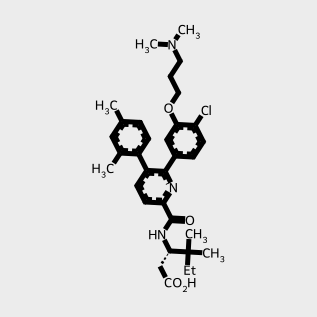 CCC(C)(C)[C@H](CC(=O)O)NC(=O)c1ccc(-c2ccc(C)cc2C)c(-c2ccc(Cl)c(OCCCN(C)C)c2)n1